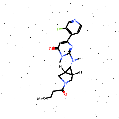 CSCCC(=O)N1C[C@@H]2[C@H](C1)[C@@H]2N(C)c1nc(-c2ccncc2F)cc(=O)n1C